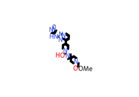 COC(=O)CN1CCC2(CC1)CN(C(O)N1CC=C(c3cccn4nc(Nc5cnn(C)c5)nc34)CC1)C2